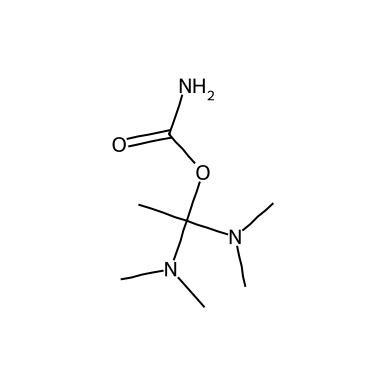 CN(C)C(C)(OC(N)=O)N(C)C